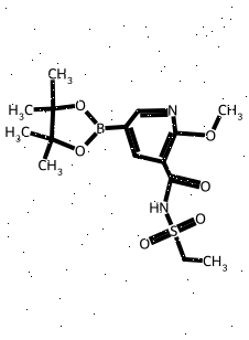 CCS(=O)(=O)NC(=O)c1cc(B2OC(C)(C)C(C)(C)O2)cnc1OC